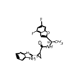 C[C@@H](NC(=O)C1C[C@@H]1c1nc2ccccc2[nH]1)c1cc2c(F)cc(F)cc2o1